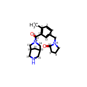 Cc1ccc(CN2CCCC2=O)cc1C(=O)N1CC2CNCC(C2)C1